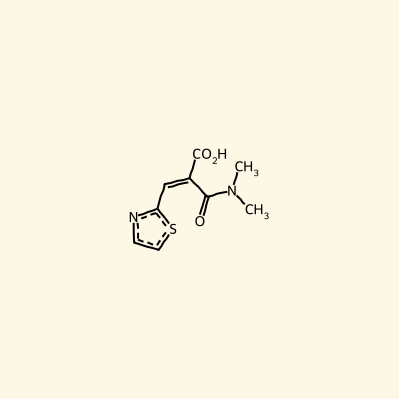 CN(C)C(=O)/C(=C\c1nccs1)C(=O)O